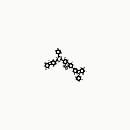 O=S1(=O)c2cc(-c3ccc4c(c3)c3ccccc3n4-c3ccccc3)ccc2-c2ccc(-c3nc(-c4ccccc4)nc(-c4ccc5c(c4)oc4ccccc45)n3)cc21